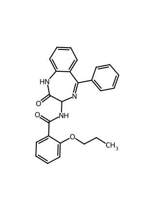 CCCOc1ccccc1C(=O)NC1N=C(c2ccccc2)c2ccccc2NC1=O